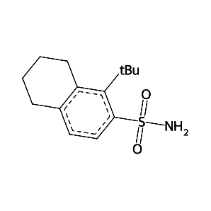 CC(C)(C)c1c(S(N)(=O)=O)ccc2c1CCCC2